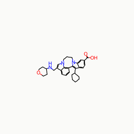 O=C(O)c1ccc2c(C3CCCCC3)c3n(c2c1)CCCn1cc(CNC2CCOCC2)c2cccc-3c21